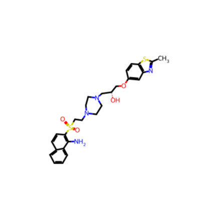 Cc1nc2cc(OC[C@H](O)CN3CCN(CCS(=O)(=O)c4ccc5ccccc5c4N)CC3)ccc2s1